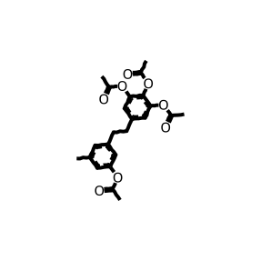 CC(=O)Oc1cc(C)cc(CCc2cc(OC(C)=O)c(OC(C)=O)c(OC(C)=O)c2)c1